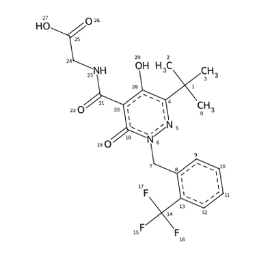 CC(C)(C)c1nn(Cc2ccccc2C(F)(F)F)c(=O)c(C(=O)NCC(=O)O)c1O